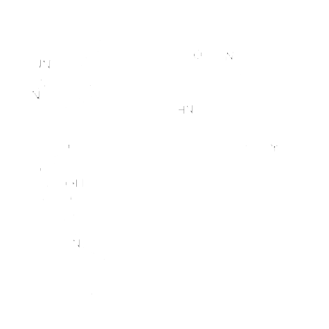 CC(C)C[C@H](NC(=O)c1ccc2[nH]nc(-c3ccc(N4C5CCC4CC(O)C5)cc3)c2c1)c1ccccn1